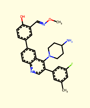 CON=Cc1cc(-c2ccc3ncc(-c4cc(C)cc(F)c4)c(N4CCC(N)CC4)c3c2)ccc1O